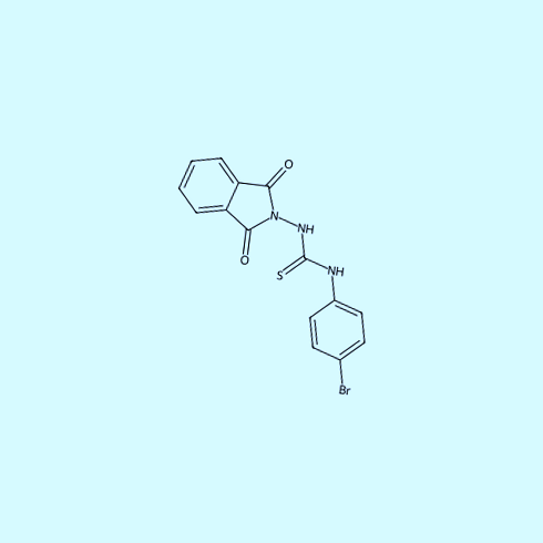 O=C1c2ccccc2C(=O)N1NC(=S)Nc1ccc(Br)cc1